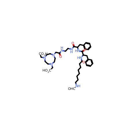 O=CNCCCCCCCC(=O)NC(Cc1ccccc1)C(=O)NC(Cc1ccccc1)C(=O)NCCNC(=O)CN1CCN(CC(=O)O)CCN(CC(=O)O)CC1